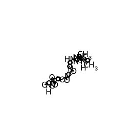 Cc1cccc(C)c1Nc1nn(C)c2nc(Nc3ccc4c(c3)CN(C(=O)C3CCN(C(=O)COc5ccc6c(c5)C(=O)N(C5CCC(=O)NC5=O)C6=O)CC3)CC4)ncc12